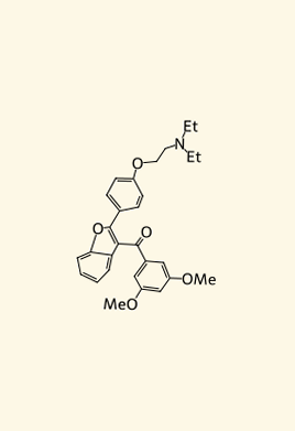 CCN(CC)CCOc1ccc(-c2oc3ccccc3c2C(=O)c2cc(OC)cc(OC)c2)cc1